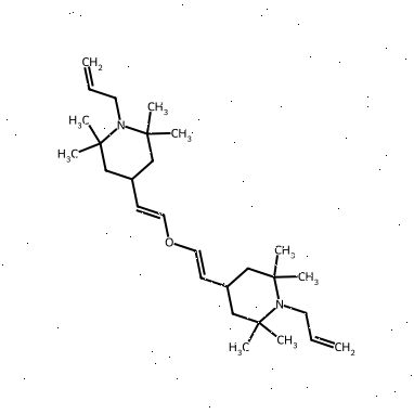 C=CCN1C(C)(C)CC(C=COC=CC2CC(C)(C)N(CC=C)C(C)(C)C2)CC1(C)C